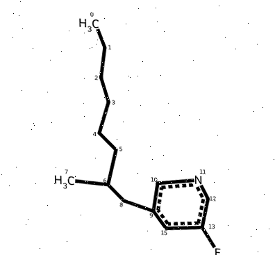 CCCCCCC(C)Cc1cncc(F)c1